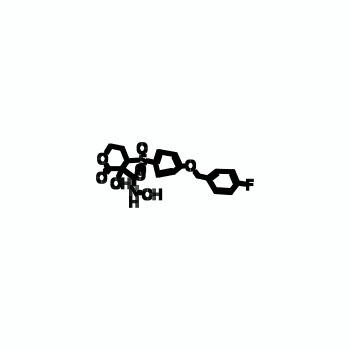 O=C(NO)C1(O)C(=O)OCCC1S(=O)(=O)c1ccc(OCc2ccc(F)cc2)cc1